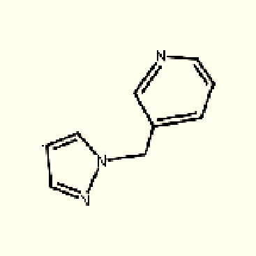 [c]1cnn(Cc2cccnc2)c1